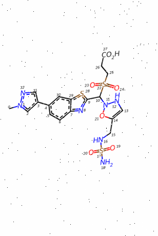 Cn1cc(-c2ccc3nc(C(N4NC=C(CNS(N)(=O)=O)O4)S(=O)(=O)CCC(=O)O)sc3c2)cn1